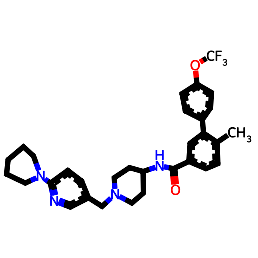 Cc1ccc(C(=O)NC2CCN(Cc3ccc(N4CCCCC4)nc3)CC2)cc1-c1ccc(OC(F)(F)F)cc1